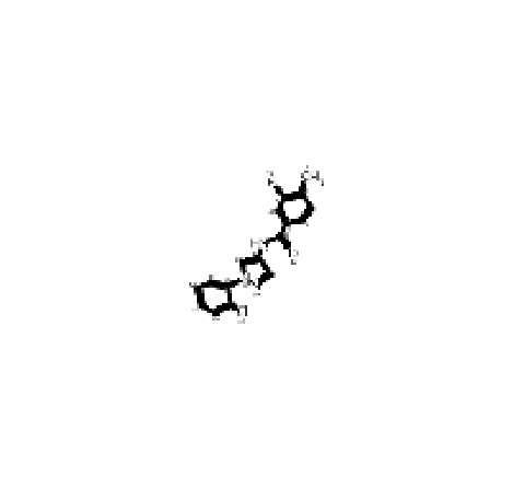 Cc1ccc(C(=O)Nc2cnn(-c3ccccc3Cl)c2)cc1F